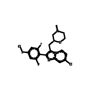 CN1CCOC(Cc2c(-c3c(F)cc(SCl)cc3F)nc3cc(Cl)ccn23)C1